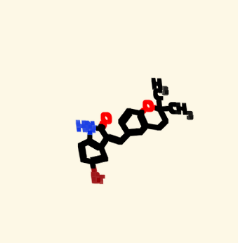 CC1(C)CCc2cc(/C=C3\C(=O)Nc4ccc(Br)cc43)ccc2O1